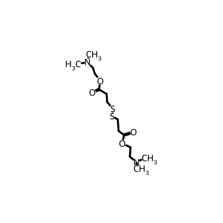 CN(C)CCOC(=O)CCSSCCC(=O)OCCN(C)C